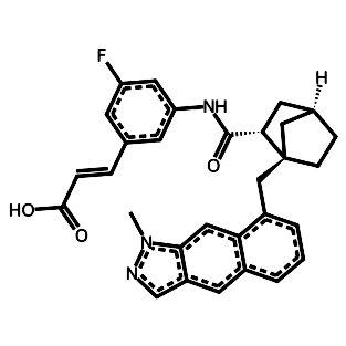 Cn1ncc2cc3cccc(C[C@@]45CC[C@H](C[C@H]4C(=O)Nc4cc(F)cc(/C=C/C(=O)O)c4)C5)c3cc21